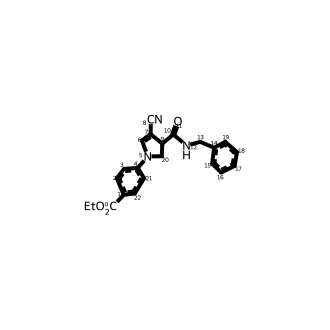 CCOC(=O)c1ccc(N2C=C(C#N)C(C(=O)NCc3ccccc3)C2)cc1